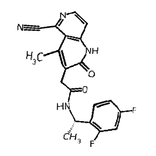 Cc1c(CC(=O)N[C@@H](C)c2ccc(F)cc2F)c(=O)[nH]c2ccnc(C#N)c12